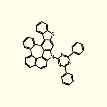 c1ccc(-c2nc(-c3ccccc3)nc(-n3c4cc5sc6ccccc6c5c5c4c4c6c(cccc6ccc43)-c3ccccc3-5)n2)cc1